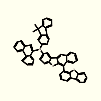 CC1(C)c2ccccc2-c2ccc(N(c3ccc4oc5c(-c6cccc7c6oc6ccccc67)c6ccccc6cc5c4c3)c3cc4ccccc4c4ccccc34)cc21